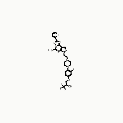 Nc1nc2c(cnn2CCN2CCN(c3ccc(OCC(O)C(F)(F)F)cc3F)CC2)c2nc(-c3ccco3)nn12